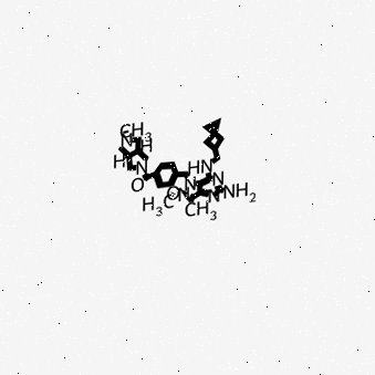 COc1cc(C(=O)N2C[C@H]3CN(C)C[C@H]3C2)ccc1Cn1nc(C)c2nc(N)nc(NCC3CC4(CC4)C3)c21